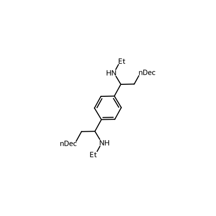 CCCCCCCCCCCC(NCC)c1ccc(C(CCCCCCCCCCC)NCC)cc1